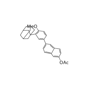 COc1ccc(-c2ccc3cc(OC(C)=O)ccc3c2)cc1C12CC3CC(CC(C3)C1)C2